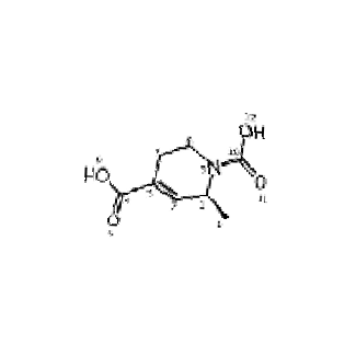 C[C@H]1C=C(C(=O)O)CCN1C(=O)O